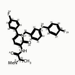 CN[C@@H](C)C(=O)Nc1ccc(-c2ccc(F)cc2)n(Cc2cccc(Sc3ccc(F)cc3)c2)c1=O